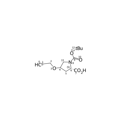 C#CCOC1C[C@@H](C(=O)O)N(C(=O)OC(C)(C)C)C1